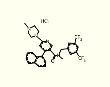 CN1CCN(c2cc(-c3cccc4ccccc34)c(C(=O)N(C)Cc3cc(C(F)(F)F)cc(C(F)(F)F)c3)cn2)CC1.Cl